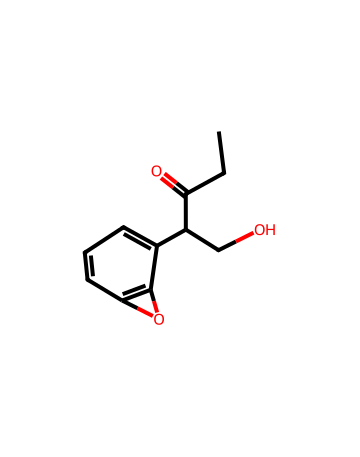 CCC(=O)C(CO)c1cccc2c1O2